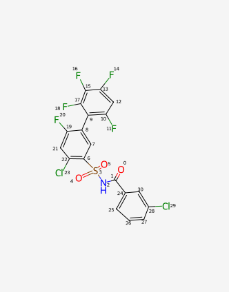 O=C(NS(=O)(=O)c1cc(-c2c(F)cc(F)c(F)c2F)c(F)cc1Cl)c1cccc(Cl)c1